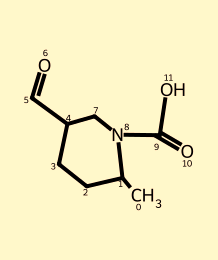 CC1CCC(C=O)CN1C(=O)O